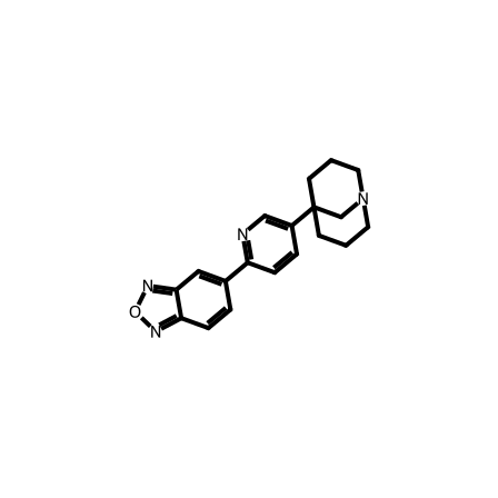 c1cc2nonc2cc1-c1ccc(C23CCCN(CCC2)C3)cn1